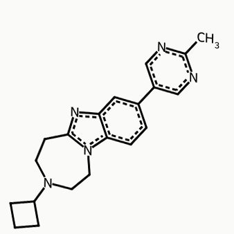 Cc1ncc(-c2ccc3c(c2)nc2n3CCN(C3CCC3)CC2)cn1